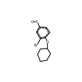 O=Cc1ccc(OC2CCCCC2)c(Br)c1